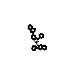 c1ccc(-c2nc(-n3c4ccccc4c4cc5ccccc5cc43)nc3ccc(-c4ccc5ccccc5c4)cc23)cc1